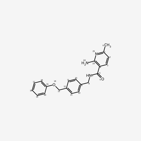 Cc1ccc(C(=O)NCc2ccc(COc3ccccc3)cc2)c(N)n1